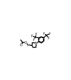 CC(=O)OSC1CCN(c2ccc(C(F)(F)F)cc2C(F)(F)F)C1